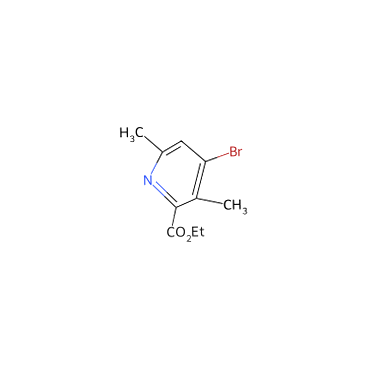 CCOC(=O)c1nc(C)cc(Br)c1C